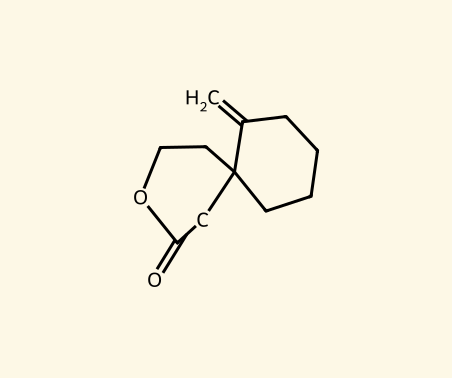 C=C1CCCCC12CCOC(=O)C2